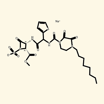 CCCCCCCCN1CCN(C(=O)NC(C(=O)N[C@H]2C(=O)N(S(=O)(=O)[O-])[C@H]2C(=O)OC)c2cccs2)C(=O)C1=O.[Na+]